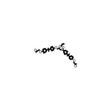 C=CC(=O)OC(COc1ccc(C(C)(C)c2ccc(OCC3CO3)cc2)cc1)COc1ccc(C(C)(C)c2ccc(OCC3CO3)cc2)cc1